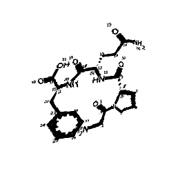 NCC(=O)N1CCC[C@H]1C(=O)N[C@@H](CCC(N)=O)C(=O)N[C@@H](Cc1ccccc1)C(=O)O